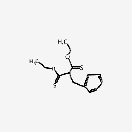 CCOC(=S)C(Cc1ccccc1)C(=S)OCC